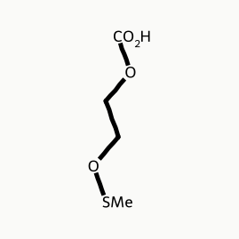 CSOCCOC(=O)O